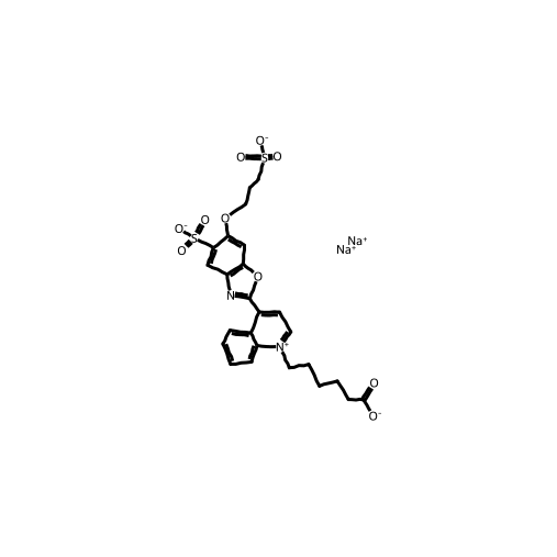 O=C([O-])CCCCC[n+]1ccc(-c2nc3cc(S(=O)(=O)[O-])c(OCCCS(=O)(=O)[O-])cc3o2)c2ccccc21.[Na+].[Na+]